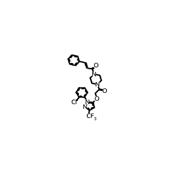 O=C(C=Cc1ccccc1)N1CCN(C(=O)COc2cc(C(F)(F)F)nn2-c2ccccc2Cl)CC1